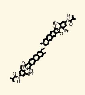 C=C(C)C(=O)Nc1cc(C(C)C)c(N2C(=O)c3cc4cc5c(cc4cc3C2=O)C[C@H](CCc2cc3cc4cc6c(cc4cc3cc2C)C(=O)N(c2c(C(C)C)cc(NC(=O)C(=C)C)cc2C(C)C)C6=O)C(C)=C5)c(C(C)C)c1